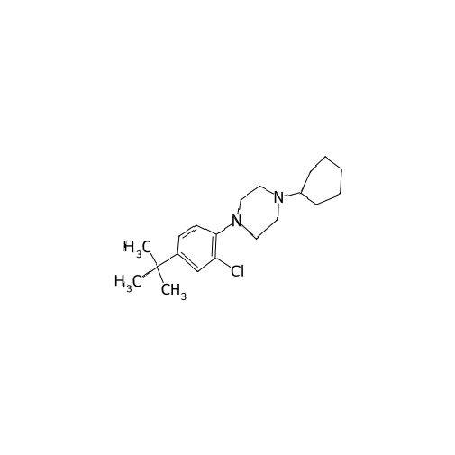 CC(C)(C)c1ccc(N2CCN(C3CCCCC3)CC2)c(Cl)c1